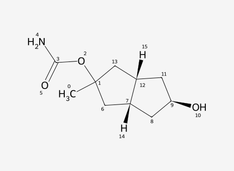 CC1(OC(N)=O)C[C@H]2C[C@H](O)C[C@H]2C1